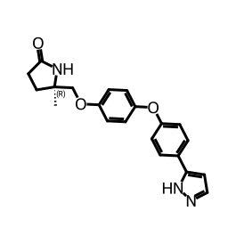 C[C@]1(COc2ccc(Oc3ccc(-c4ccn[nH]4)cc3)cc2)CCC(=O)N1